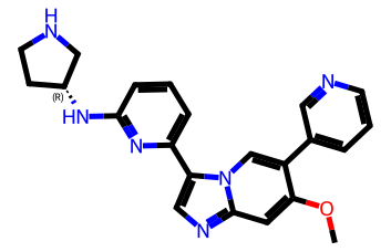 COc1cc2ncc(-c3cccc(N[C@@H]4CCNC4)n3)n2cc1-c1cccnc1